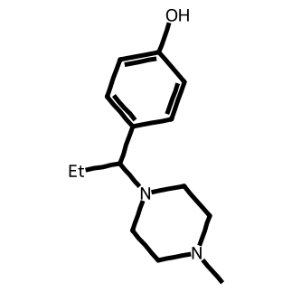 CCC(c1ccc(O)cc1)N1CCN(C)CC1